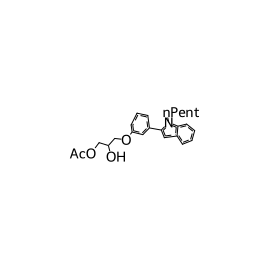 CCCCCn1c(-c2cccc(OCC(O)COC(C)=O)c2)cc2ccccc21